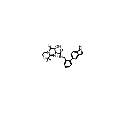 CC1(C)OCCN2C(=O)C(O)C(C(=O)NCc3ccccc3-c3ccc4[nH]ccc4c3)N=C21